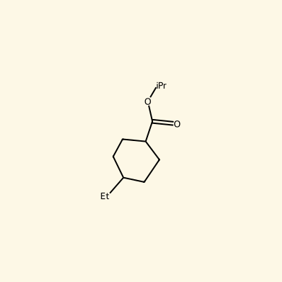 CCC1CCC(C(=O)OC(C)C)CC1